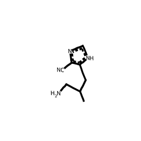 CC(CN)Cc1[nH]cnc1C#N